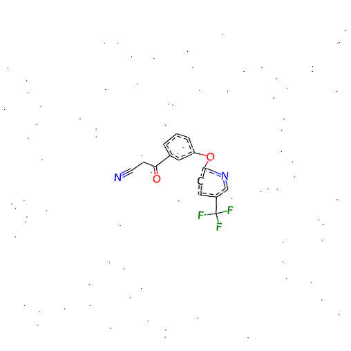 N#CCC(=O)c1cccc(Oc2ccc(C(F)(F)F)cn2)c1